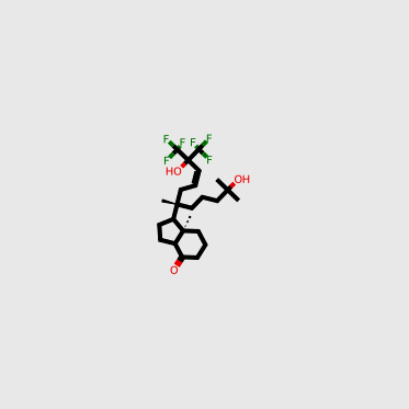 CC(C)(O)CCC[C@@](C)(C/C=C\C(O)(C(F)(F)F)C(F)(F)F)C1CCC2C(=O)CCC[C@@]21C